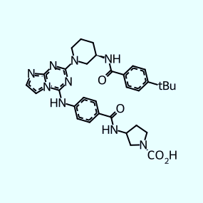 CC(C)(C)c1ccc(C(=O)N[C@@H]2CCCN(c3nc(Nc4ccc(C(=O)NC5CCN(C(=O)O)C5)cc4)n4ccnc4n3)C2)cc1